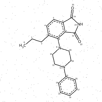 CCCc1ccc2c(c1N1CCN(c3ccccc3)CC1)C(=O)NC2=O